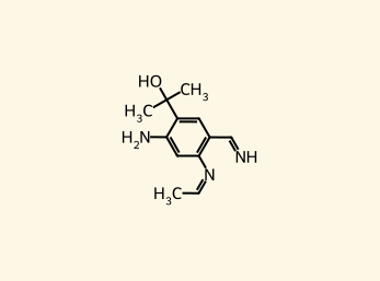 C/C=N\c1cc(N)c(C(C)(C)O)cc1C=N